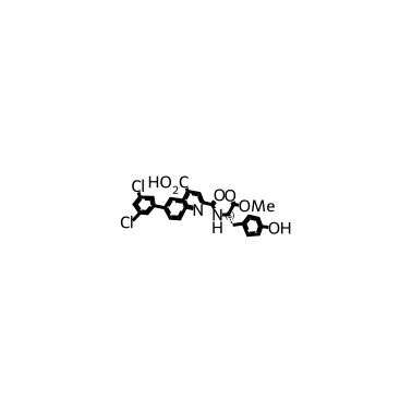 COC(=O)[C@H](Cc1ccc(O)cc1)NC(=O)c1cc(C(=O)O)c2cc(-c3cc(Cl)cc(Cl)c3)ccc2n1